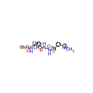 Cn1ccc(-c2cccc(-c3csc(NC(=O)CNC(=O)c4cccc(C(C)(C)CNC(=O)OC(C)(C)C)c4)n3)c2)n1